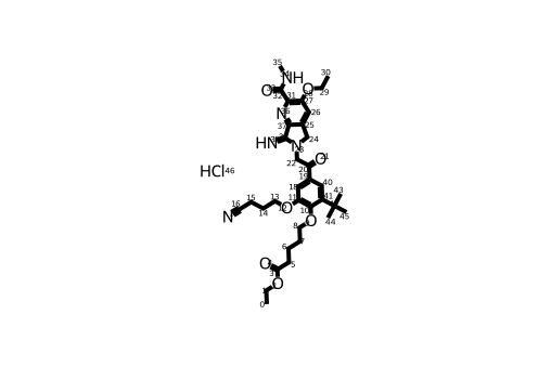 CCOC(=O)CCCCOc1c(OCCCC#N)cc(C(=O)CN2Cc3cc(OCC)c(C(=O)NC)nc3C2=N)cc1C(C)(C)C.Cl